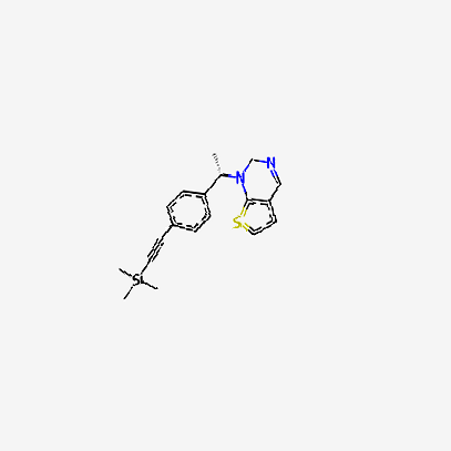 C[C@@H](c1ccc(C#C[Si](C)(C)C)cc1)N1CN=Cc2ccsc21